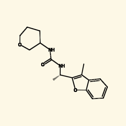 Cc1c([C@H](C)NC(=O)NC2CCCOC2)oc2ccccc12